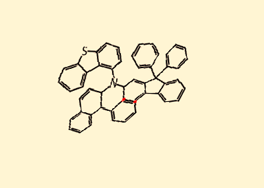 C1=CC(N(c2cccc3sc4ccccc4c23)C2C=C3C(=CC2)c2ccccc2C3(c2ccccc2)c2ccccc2)C(c2ccccc2)c2ccccc21